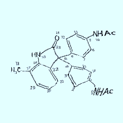 CC(=O)Nc1ccc(C2(c3ccc(NC(C)=O)cc3)C(=O)Nc3c(C)cccc32)cc1